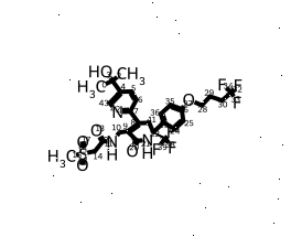 CC(C)(O)c1ccc(C2=C(CNC(=O)CS(C)(=O)=O)C(=O)N[C@](c3ccc(OCCCC(F)(F)F)cc3)(C(F)(F)F)C2)nc1